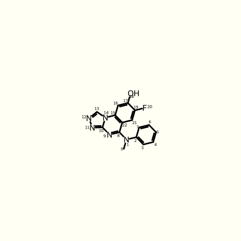 CN(c1ccccc1)c1nc2nncn2c2cc(O)c(F)cc12